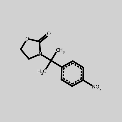 CC(C)(c1ccc([N+](=O)[O-])cc1)N1CCOC1=O